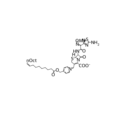 CCCCCCCC/C=C\CCCCCCCC(=O)OCc1cc[n+](CC2=C(C(=O)[O-])N3C(=O)C(NC(=O)C(=NOC)c4nsc(N)n4)[C@@H]3SC2)cc1